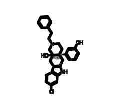 Oc1cccc([C@@]23CCN(CCc4ccccc4)C[C@@]2(O)Cc2c([nH]c4cc(Cl)ccc24)C3)c1